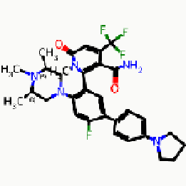 C[C@@H]1CN(c2cc(F)c(-c3ccc(N4CCCC4)cc3)cc2-c2c(C(N)=O)c(C(F)(F)F)cc(=O)n2C)C[C@H](C)N1C